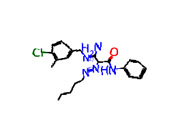 CCCCC/N=N/C(C(=O)Nc1ccccc1)/C(N)=N/Cc1ccc(Cl)c(C)c1